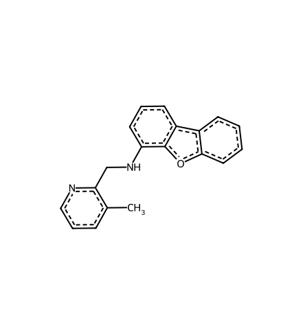 Cc1cccnc1CNc1cccc2c1oc1ccccc12